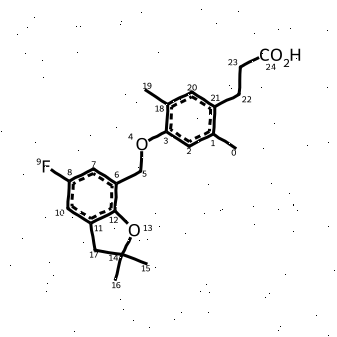 Cc1cc(OCc2cc(F)cc3c2OC(C)(C)C3)c(C)cc1CCC(=O)O